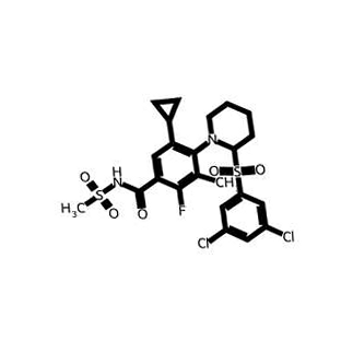 Cc1c(F)c(C(=O)NS(C)(=O)=O)cc(C2CC2)c1N1CCCCC1S(=O)(=O)c1cc(Cl)cc(Cl)c1